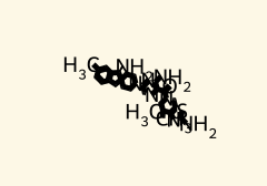 Cc1ccc2c(c1)[C@@H](N)C1(CCN(c3cnc(C(=O)N4Cc5sc(N)nc5C(C)(C)C4)c(N)n3)CC1)C2